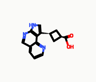 O=C(O)[C@H]1C[C@H](c2c[nH]c3ncc4cccnc4c32)C1